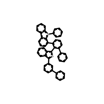 c1ccc(-c2cccc(-c3sc(-c4c(-c5ccccc5)cccc4-c4cccc5c6ccccc6n(-c6ccccc6)c45)c4ccccc34)c2)cc1